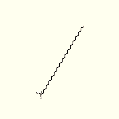 Cl[SiH](Cl)CCCCCCCCCCCCCCCCCCCCCCCCCCCCCCI